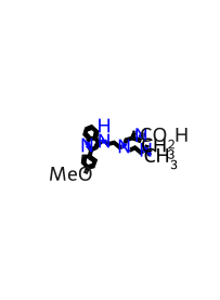 COc1ccc(-c2cc(NCCCN(CCCN(C)C)CC3CN(C(=O)O)C3)c3ccccc3n2)cc1